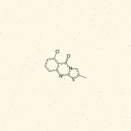 Cc1cn2c(=O)c3c(Cl)cccc3nc2s1